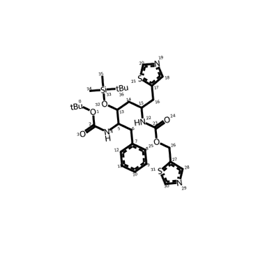 CC(C)(C)OC(=O)NC(Cc1ccccc1)C(CC(Cc1cncs1)NC(=O)OCc1cncs1)O[Si](C)(C)C(C)(C)C